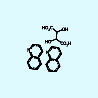 O=C(O)C(O)C(O)C(=O)O.c1ccc2ncccc2c1.c1ccc2ncccc2c1